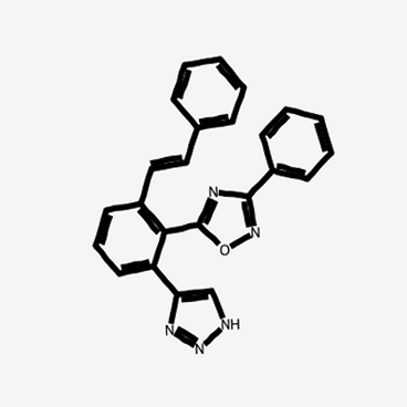 C(=Cc1cccc(-c2c[nH]nn2)c1-c1nc(-c2ccccc2)no1)c1ccccc1